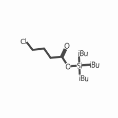 CCC(C)[Si](OC(=O)CCCCl)(C(C)CC)C(C)CC